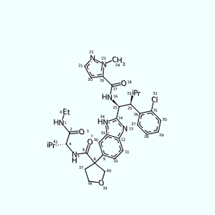 CCNC(=O)[C@H](NC(=O)C1(c2ccc3nc([C@@H](NC(=O)c4ccnn4C)[C@H](c4ccccc4Cl)C(C)C)[nH]c3c2)CCOC1)C(C)C